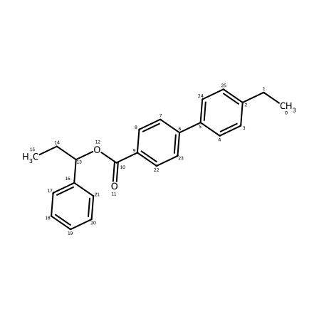 CCc1ccc(-c2ccc(C(=O)OC(CC)c3ccccc3)cc2)cc1